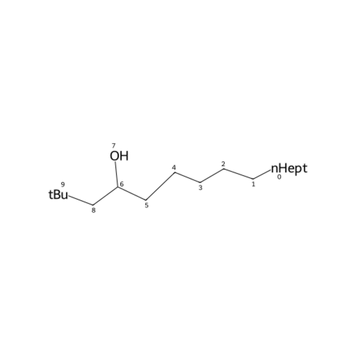 CCCCCCCCCCCCC(O)CC(C)(C)C